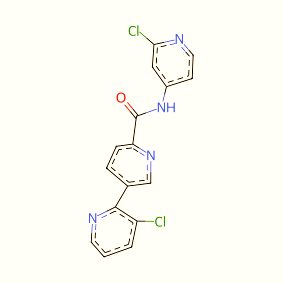 O=C(Nc1ccnc(Cl)c1)c1ccc(-c2ncccc2Cl)cn1